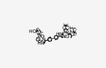 COC(=O)N[C@H](C(=O)N1CC2(C[C@H]1c1ncc(-c3ccc(-c4ccc(-c5c[nH]c([C@@H]6CCCN6C(=O)[C@H](C(C)C)N(C)C(=O)O)n5)cc4)cc3)[nH]1)O[C@@H](C)[C@H](C)O2)C(C)C